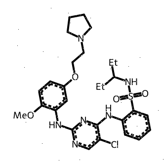 CCC(CC)NS(=O)(=O)c1ccccc1Nc1nc(Nc2cc(OCCN3CCCC3)ccc2OC)ncc1Cl